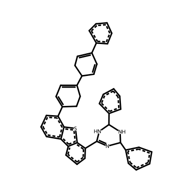 C1=CC(C2=CC=C(c3cccc4c3sc3c(C5=NC(c6ccccc6)NC(c6ccccc6)N5)cccc34)CC2)CC=C1c1ccccc1